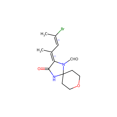 CC(/C=C(\C)Br)=C1\C(=O)NC2(CCOCC2)N1C=O